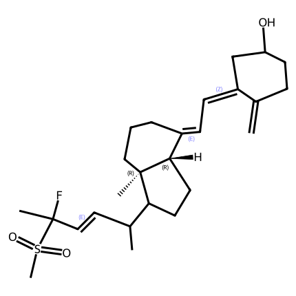 C=C1CCC(O)C/C1=C/C=C1\CCC[C@]2(C)C(C(C)/C=C/C(C)(F)S(C)(=O)=O)CC[C@@H]12